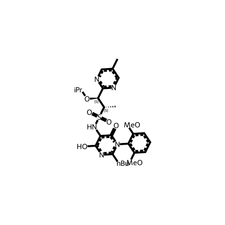 CCCCc1nc(O)c(NS(=O)(=O)[C@@H](C)[C@@H](OC(C)C)c2ncc(C)cn2)c(=O)n1-c1c(OC)cccc1OC